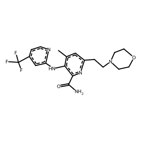 Cc1cc(CCN2CCOCC2)nc(C(N)=O)c1Nc1cc(C(F)(F)F)ccn1